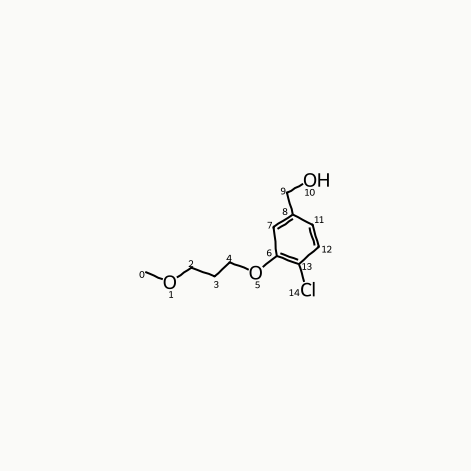 COCCCOc1cc(CO)ccc1Cl